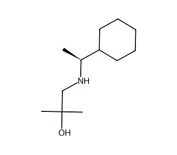 C[C@H](NCC(C)(C)O)C1CCCCC1